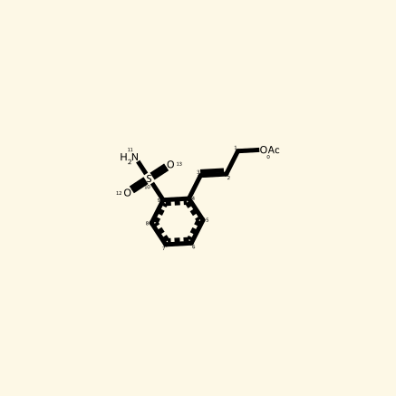 CC(=O)OCC=Cc1ccccc1S(N)(=O)=O